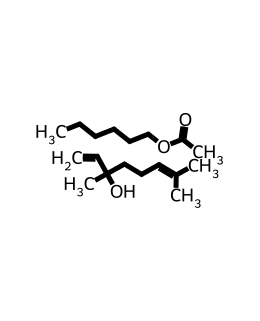 C=CC(C)(O)CCC=C(C)C.CCCCCCOC(C)=O